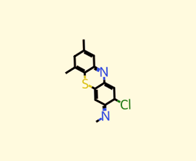 CN=C1C=C2SC3=C(C)CC(C)=CC3=NC2=CC1Cl